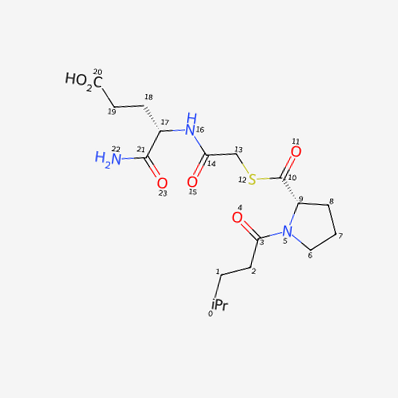 CC(C)CCC(=O)N1CCC[C@H]1C(=O)SCC(=O)N[C@@H](CCC(=O)O)C(N)=O